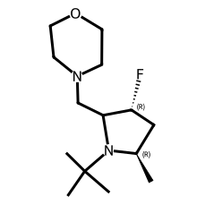 C[C@@H]1C[C@@H](F)C(CN2CCOCC2)N1C(C)(C)C